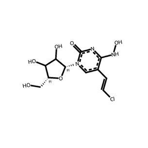 O=c1nc(NO)c(C=CCl)cn1[C@@H]1O[C@H](CO)C(O)C1O